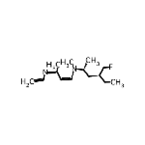 C=C/N=C(C)\C=C/N(C)[C@@H](C)C[C@H](CC)CF